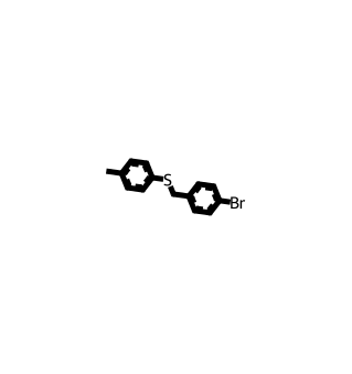 Cc1ccc(SCc2ccc(Br)cc2)cc1